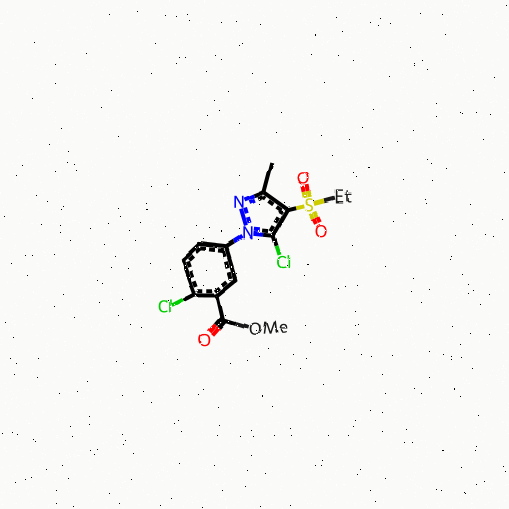 CCS(=O)(=O)c1c(C)nn(-c2ccc(Cl)c(C(=O)OC)c2)c1Cl